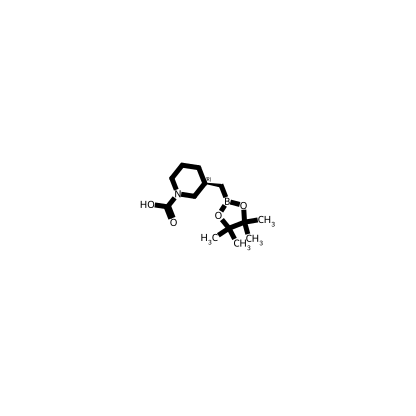 CC1(C)OB(C[C@@H]2CCCN(C(=O)O)C2)OC1(C)C